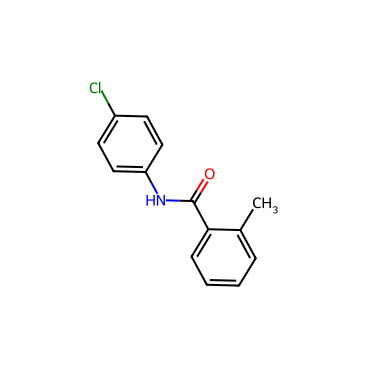 Cc1ccccc1C(=O)Nc1ccc(Cl)cc1